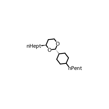 CCCCCCC[C@H]1CCO[C@H](C2CCC(CCCCC)CC2)O1